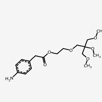 COCC(COC)(COCCOC(=O)Cc1ccc(N)cc1)OC